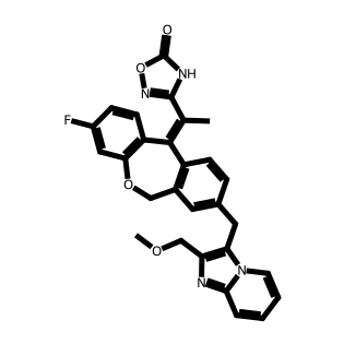 COCc1nc2ccccn2c1Cc1ccc2c(c1)COc1cc(F)ccc1/C2=C(/C)c1noc(=O)[nH]1